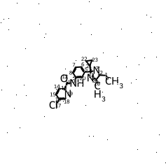 CCC1=NC(c2cccc(NC(=O)c3ccc(Cl)cn3)c2)(C2CC2)N=C1C